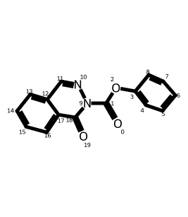 O=C(Oc1ccccc1)n1ncc2ccccc2c1=O